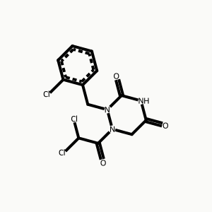 O=C1CN(C(=O)C(Cl)Cl)N(Cc2ccccc2Cl)C(=O)N1